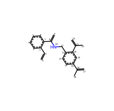 C=Cc1ccccc1C(=C)NCc1ccc(C(=C)C)cc1C(=C)C